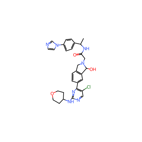 CC(NC(=O)CN1Cc2ccc(-c3nc(NC4CCOCC4)ncc3Cl)cc2C1O)c1ccc(-n2ccnc2)cc1